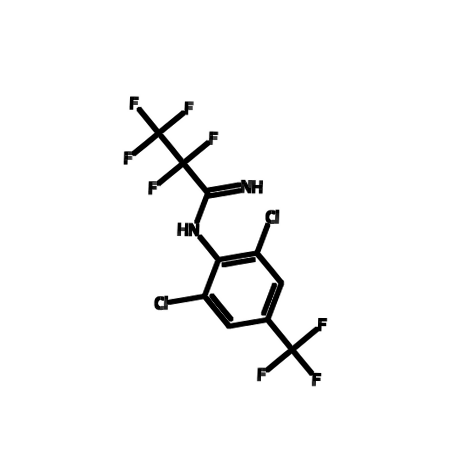 N=C(Nc1c(Cl)cc(C(F)(F)F)cc1Cl)C(F)(F)C(F)(F)F